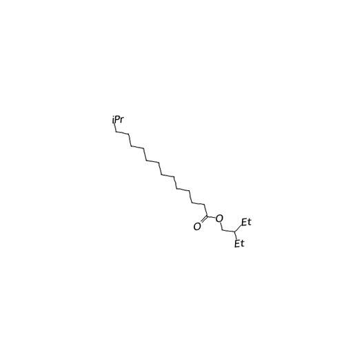 CCC(CC)COC(=O)CCCCCCCCCCCCC(C)C